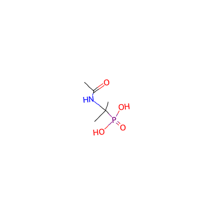 CC(=O)NC(C)(C)P(=O)(O)O